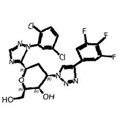 OC[C@H]1O[C@@H](c2ncnn2-c2cc(Cl)ccc2Cl)C[C@@H](n2cc(-c3cc(F)c(F)c(F)c3)nn2)[C@H]1O